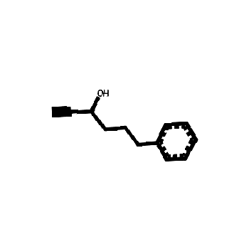 C#CC(O)CCCc1ccccc1